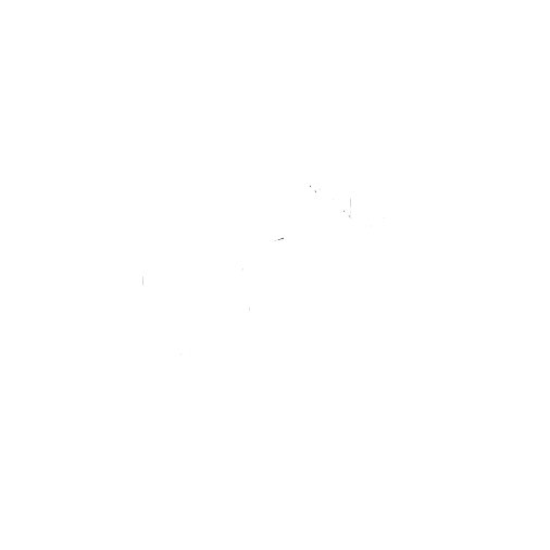 CCCCONCC(CC[C@@H](CO[C@H](C)c1cc(C(F)(F)F)cc(C(F)(F)F)c1)c1ccccc1)[N+](=O)[O-]